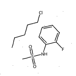 CCCCCCl.CS(=O)(=O)Nc1ccccc1F